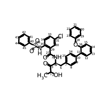 CC(O)C(=O)[C@H](Cc1ccc(-c2ccccc2Oc2ccccc2)cc1)NC(=O)c1cc(Cl)ccc1NS(=O)(=O)c1ccccc1